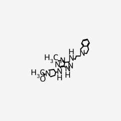 CC(=O)N1CCC(Nc2nc(C)nc3c(NCCCN4CCc5ccccc5C4)n[nH]c23)CC1